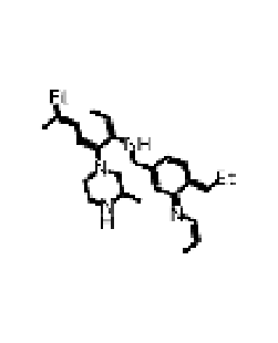 C\C=C/N=C1/C=C(CNC(=C/C)/C(=C\C=C(/C)CC)N2CCNC(C)C2)C=C/C1=C\CC